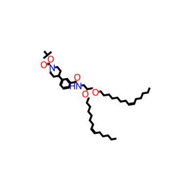 CCCCC/C=C\CCCCCCCOCC(CNC(=O)c1cccc(C2CCN(C(=O)OC(C)(C)C)CC2)c1)OCCCCCCC/C=C\CCCCC